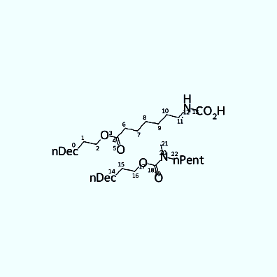 CCCCCCCCCCCCOC(=O)CCCCC[CH]NC(=O)O.CCCCCCCCCCCCOC(=O)N(C)CCCCC